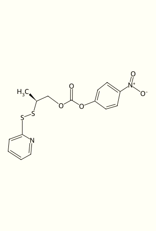 C[C@@H](COC(=O)Oc1ccc([N+](=O)[O-])cc1)SSc1ccccn1